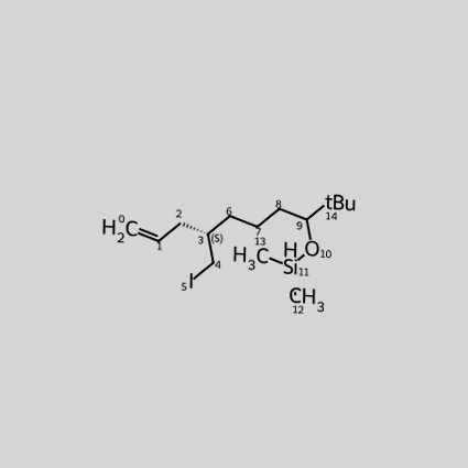 C=CC[C@@H](CI)CCCC(O[SiH](C)C)C(C)(C)C